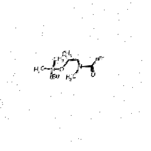 CCCC(=O)N(C)C[C@@H](C)O[Si](C)(C)C(C)(C)C